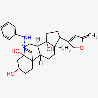 C=C1C=C(C2CCC3(O)[C@@H]4CCC5(O)C[C@H](O)CCC5(/C=N/Nc5ccccc5)[C@H]4CCC23C)CO1